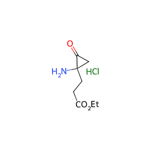 CCOC(=O)CCC1(N)CC1=O.Cl